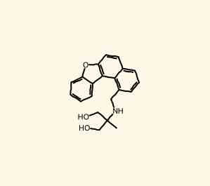 CC(CO)(CO)NCc1cccc2ccc3oc4ccccc4c3c12